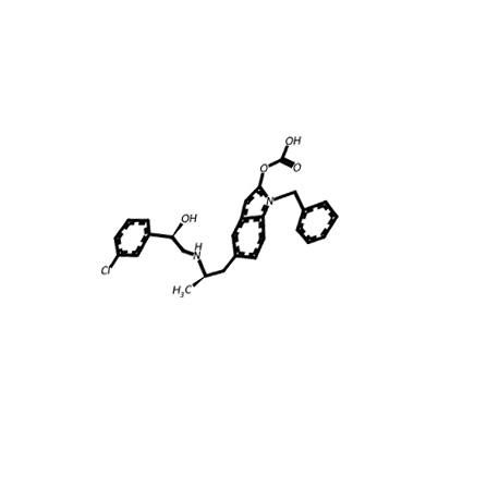 C[C@H](Cc1ccc2c(c1)cc(OC(=O)O)n2Cc1ccccc1)NC[C@H](O)c1cccc(Cl)c1